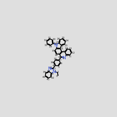 CCn1c(-c2ccc(-c3nc4ccccc4c4c3ccc3c4c4ccccc4n3-c3ccccc3)cc2)nc2ccccc21